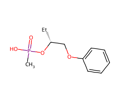 CC[C@H](COc1ccccc1)OP(C)(=O)O